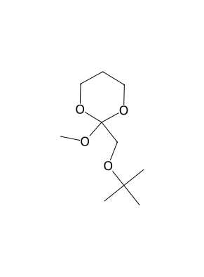 COC1(COC(C)(C)C)OCCCO1